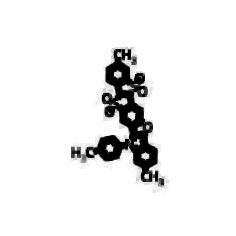 Cc1ccc(-n2c3cc(C)ccc3c3oc4cc5c(cc4c32)S(=O)(=O)C2=C5S(=O)(=O)c3cc(C)ccc32)cc1